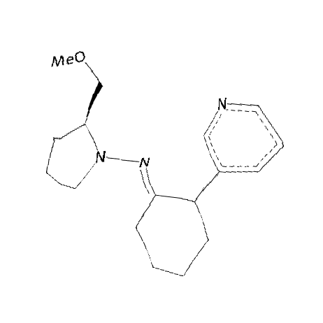 COC[C@@H]1CCCN1/N=C1\CCCCC1c1cccnc1